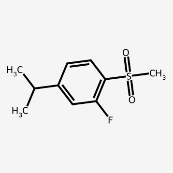 CC(C)c1ccc(S(C)(=O)=O)c(F)c1